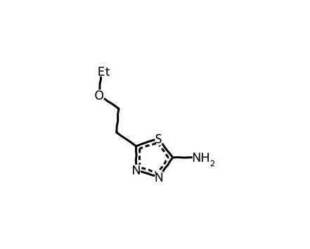 CCOCCc1nnc(N)s1